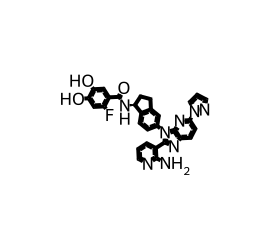 Nc1ncccc1-c1nc2ccc(-n3cccn3)nc2n1-c1ccc2c(c1)CC[C@@H]2NC(=O)c1cc(O)c(O)cc1F